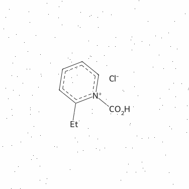 CCc1cccc[n+]1C(=O)O.[Cl-]